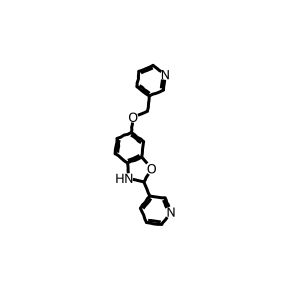 c1cncc(COc2ccc3c(c2)OC(c2cccnc2)N3)c1